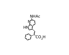 CC(=O)Nc1ccc2c(C=C(C(=O)O)c3ccccc3)c[nH]c2n1